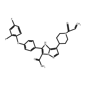 C=CC(=O)N1CCC(c2cnn3c(C(N)=O)c(-c4ccc(Oc5ccc(F)cc5F)cc4)[nH]c23)CC1